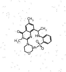 Cc1cc(C(C)Nc2ccccc2S(=O)(=O)C(C)C)c2nc(N3CCOCC3)n(C)c(=O)c2c1